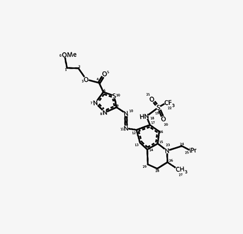 COCCOC(=O)c1nnc(N=Nc2cc3c(cc2NS(=O)(=O)C(F)(F)F)N(CC(C)C)C(C)CC3)s1